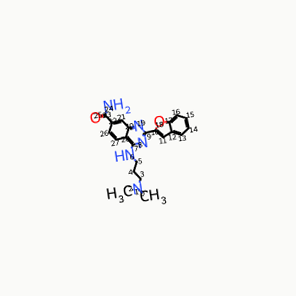 CN(C)CCCNc1nc(-c2cc3ccccc3o2)nc2cc(C(N)=O)ccc12